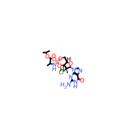 CC(C)OC(=O)C(C)NP1(=O)OC[C@H]2O[C@@H](n3cnc4c(=O)[nH]c(N)nc43)[C@](C)(Cl)[C@@H]2O1